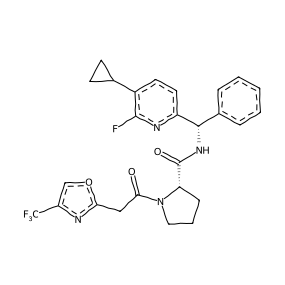 O=C(N[C@@H](c1ccccc1)c1ccc(C2CC2)c(F)n1)[C@@H]1CCCN1C(=O)Cc1nc(C(F)(F)F)co1